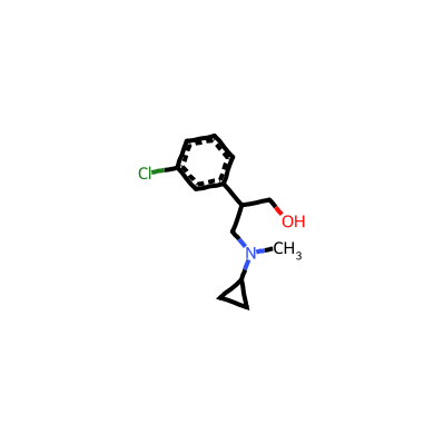 CN(CC(CO)c1cccc(Cl)c1)C1CC1